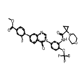 COC(=O)c1ccc(-c2ccc3c(=O)n(-c4ccc(OC(F)(F)F)c(NC(=O)C5(N6CCOCC6)CC5)c4)cnc3c2)c(F)c1